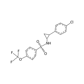 O=S(=O)(NC1CC1c1ccc(Cl)cc1)c1ccc(OC(F)(F)F)cc1